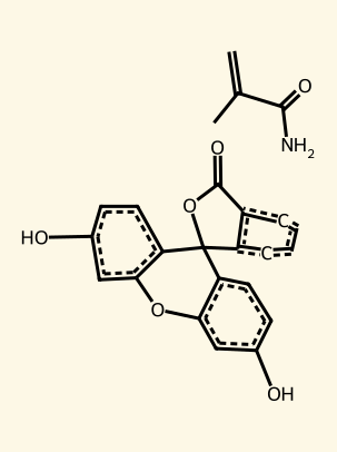 C=C(C)C(N)=O.O=C1OC2(c3ccc(O)cc3Oc3cc(O)ccc32)c2ccccc21